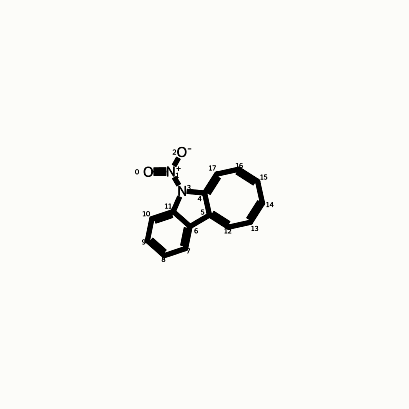 O=[N+]([O-])n1c2/c(c3ccccc31)=C\C=C/C=C\C=2